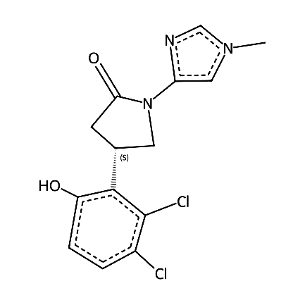 Cn1cnc(N2C[C@H](c3c(O)ccc(Cl)c3Cl)CC2=O)c1